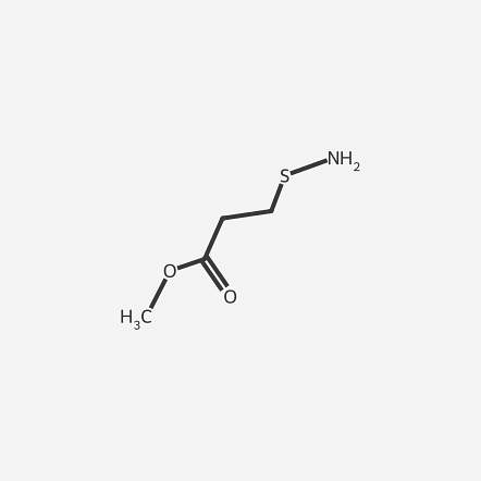 COC(=O)CCSN